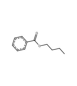 CCCCOC(=O)c1c[c]ccc1